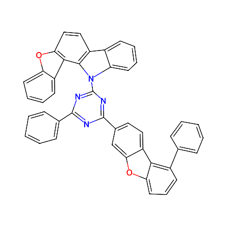 c1ccc(-c2nc(-c3ccc4c(c3)oc3cccc(-c5ccccc5)c34)nc(-n3c4ccccc4c4ccc5oc6ccccc6c5c43)n2)cc1